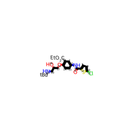 CCOC(=O)c1cc(NC(=O)c2ccc(Cl)s2)ccc1OCC(O)CNC(C)(C)C